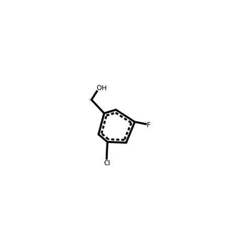 O[CH]c1cc(F)cc(Cl)c1